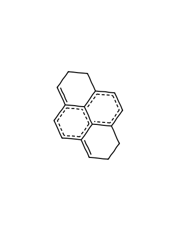 C1=c2ccc3c4c(ccc(c24)CC1)CCC=3